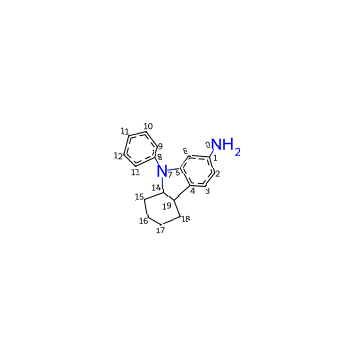 Nc1ccc2c(c1)N(c1ccccc1)C1CCCCC21